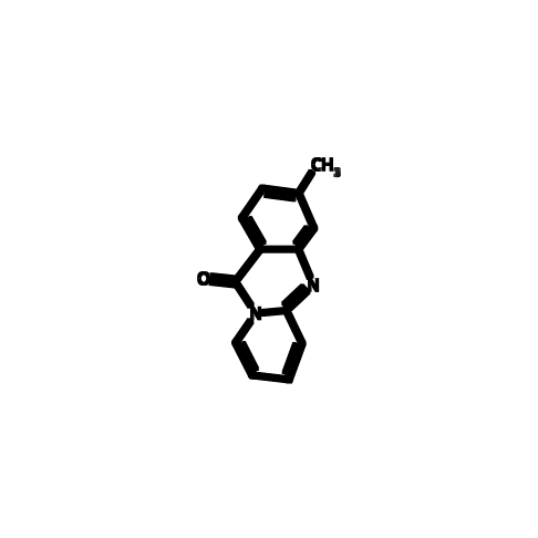 Cc1ccc2c(=O)n3ccccc3nc2c1